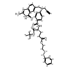 C#CCN(Cc1ccc2nc(N)[nH]c(=O)c2c1)c1ccc(C(=O)N[C@@H](CCC(=O)OCCSSc2ccccn2)C(=O)OC(C)(C)C)cc1